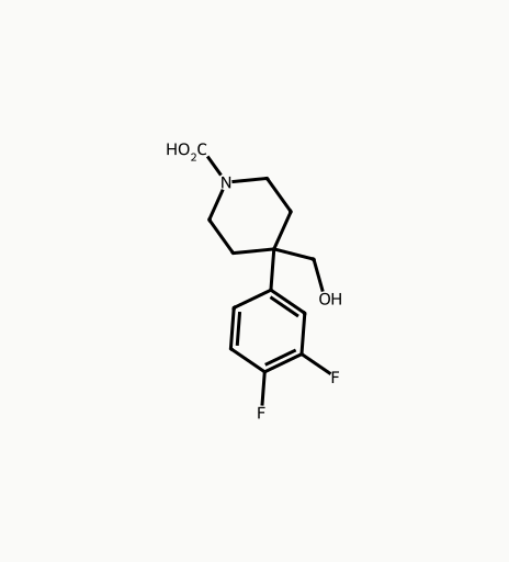 O=C(O)N1CCC(CO)(c2ccc(F)c(F)c2)CC1